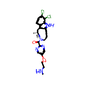 CNCCOc1cnc(C(=O)N2CCc3[nH]c4c(Cl)c(Cl)ccc4c3[C@H]2C)nc1